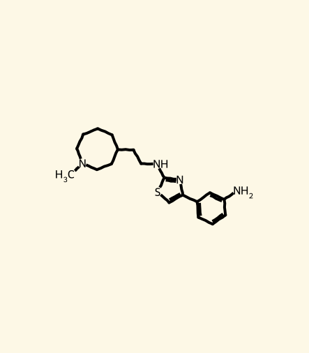 CN1CCCCC(CCNc2nc(-c3cccc(N)c3)cs2)CC1